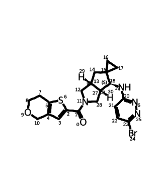 O=C(c1cc2c(s1)CCOC2)N1C[C@@H]2CC3(CC3)[C@@H](Nc3ccc(Br)nn3)[C@@H]2C1